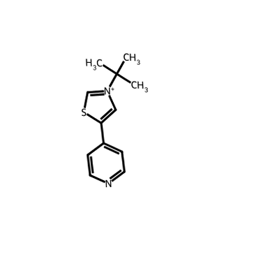 CC(C)(C)[n+]1csc(-c2ccncc2)c1